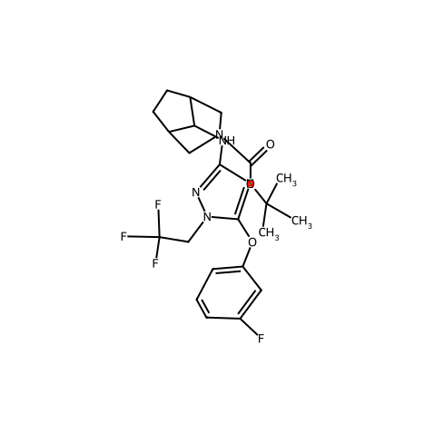 CC(C)(C)OC(=O)N1CC2CCC(C1)C2Nc1nc(Oc2cccc(F)c2)n(CC(F)(F)F)n1